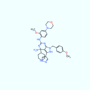 COc1ccc(CN2NC(c3cn[nH]c3)=C3C2=NC(Nc2ccc(N4CCOCC4)cc2OC)=NC3(N)C2CCCCC2)cc1